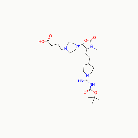 CN1C(=O)OC(N2CCN(CCCC(=O)O)CC2)C1CCC1CCN(C(=N)NC(=O)OC(C)(C)C)CC1